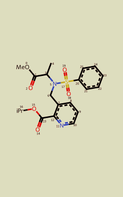 COC(=O)C(C)N(Cc1cccnc1C(=O)OC(C)C)S(=O)(=O)c1ccccc1